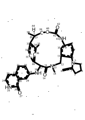 C=C1CCCN1c1ccc2cc1CN(C)C(=O)C(Nc1ccc3cc[nH]c(=O)c3c1)c1ccc(c(C)c1)[C@@H](C)COC(=O)N2